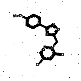 COc1ccc(-c2noc(Cn3ncc(Cl)cc3=O)n2)cc1